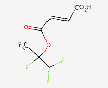 O=C(O)C=CC(=O)OC(F)(C(F)F)C(F)(F)F